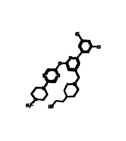 CN1CCN(c2cnc(Oc3cc(CN4CCC(CCO)CC4)cc(-c4cc(Cl)cc(Cl)c4)n3)cn2)CC1